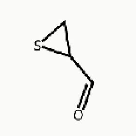 O=CC1CS1